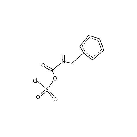 O=C(NCc1ccccc1)OS(=O)(=O)Cl